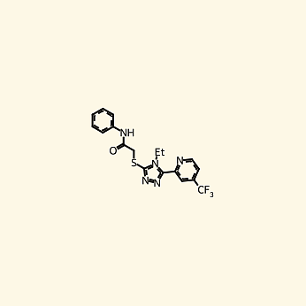 CCn1c(SCC(=O)Nc2ccccc2)nnc1-c1cc(C(F)(F)F)ccn1